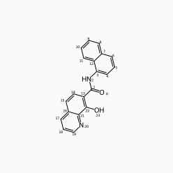 O=C(Nc1cccc2ccccc12)c1ccc2cccnc2c1O